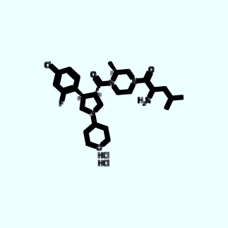 CC(C)CC(N)C(=O)N1CCN(C(=O)[C@@H]2CN(C3CCOCC3)C[C@H]2c2ccc(Cl)cc2F)[C@@H](C)C1.Cl.Cl